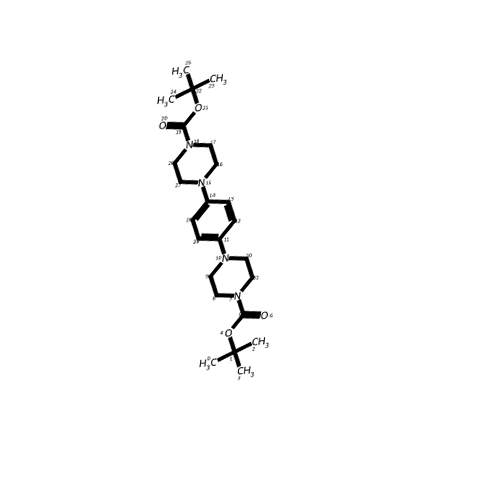 CC(C)(C)OC(=O)N1CCN(c2ccc(N3CCN(C(=O)OC(C)(C)C)CC3)cc2)CC1